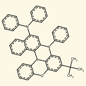 CC(C)(C)c1cc2c3c(c1)N(c1ccccc1)c1cc(N(c4ccccc4)c4ccccc4)c4ccccc4c1B3c1ccccc1O2